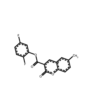 Cc1ccc2oc(=O)c(C(=O)Oc3cc(F)ccc3F)cc2c1